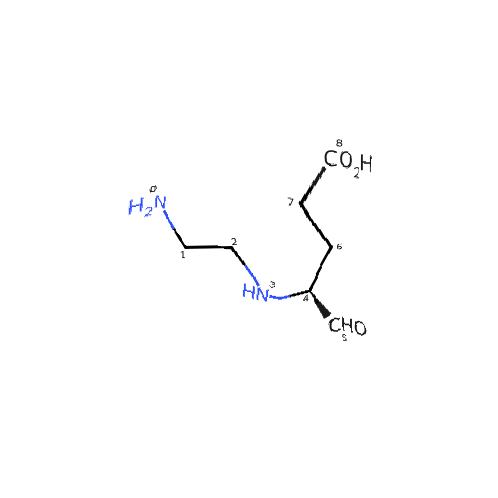 NCCN[C@H](C=O)CCC(=O)O